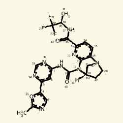 Cc1ncc(-c2cc(NC(=O)N3c4nc(C(=O)N[C@H](C)C(F)(F)F)ccc4N4CC[C@H]3C4)ncn2)o1